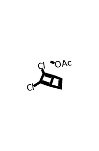 COC(C)=O.Clc1c2ccc-2c1Cl